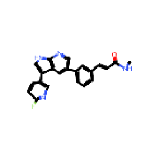 CNC(=O)/C=C/c1cccc(-c2cnc3[nH]cc(-c4ccc(F)nc4)c3c2)c1